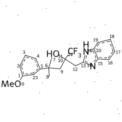 COc1cccc(C(C)(C)CC(O)(Cc2nc3ccccc3[nH]2)C(F)(F)F)c1